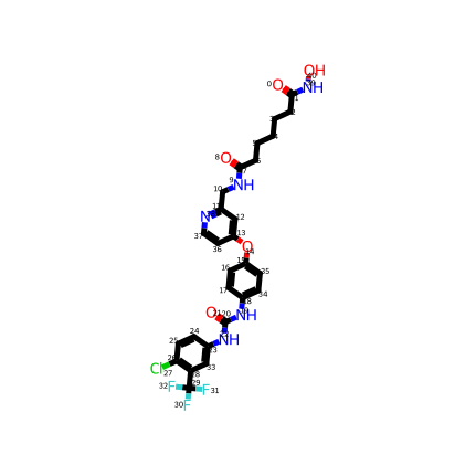 O=C(CCCCCC(=O)NCc1cc(Oc2ccc(NC(=O)Nc3ccc(Cl)c(C(F)(F)F)c3)cc2)ccn1)NO